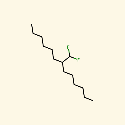 CCCCCCC(CCCCCC)C(F)F